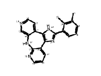 Cc1cccc(-c2nc3c([nH]2)-c2ccncc2Nc2ncccc2-3)c1C